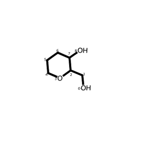 OCC1OCCCC1O